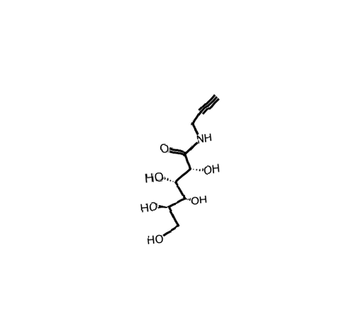 C#CCNC(=O)[C@H](O)[C@@H](O)[C@H](O)[C@H](O)CO